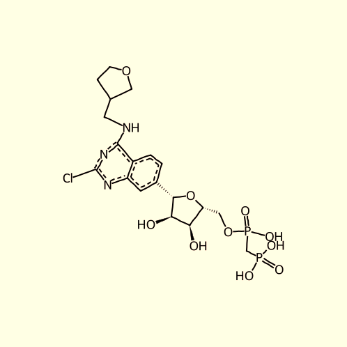 O=P(O)(O)CP(=O)(O)OC[C@H]1O[C@@H](c2ccc3c(NCC4CCOC4)nc(Cl)nc3c2)[C@H](O)[C@@H]1O